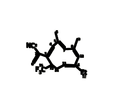 C=C(C#N)/C1=C/C(C)=C/C(C)=C\C(CC)=C\CC1C(F)(F)F